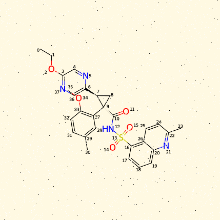 CCOc1cnc([C@H]2C[C@@]2(C(=O)NS(=O)(=O)c2cccc3nc(C)ccc23)c2cc(C)ccc2OC)cn1